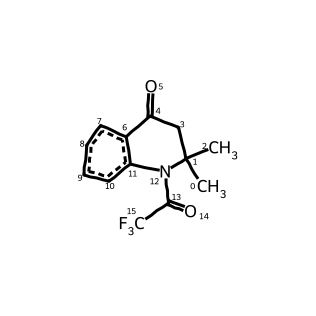 CC1(C)CC(=O)c2ccccc2N1C(=O)C(F)(F)F